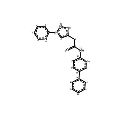 O=C(Cc1cn(-c2ccccn2)nn1)Nc1ccc(-c2ccccc2)cn1